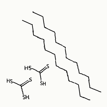 CCCCCCCCCCCC.CCCCCCCCCCCC.S=C(S)S.S=C(S)S